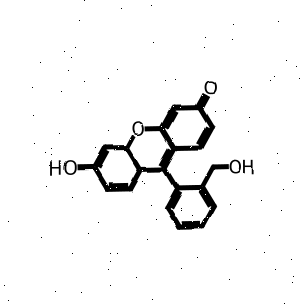 O=C1C=CC2=C(c3ccccc3CO)C3C=CC(O)=CC3OC2=C1